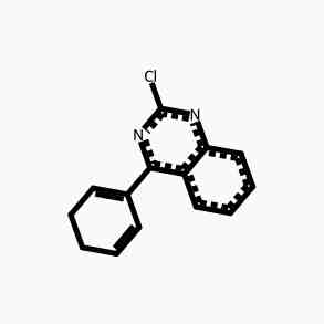 Clc1nc(C2=CCCC=C2)c2ccccc2n1